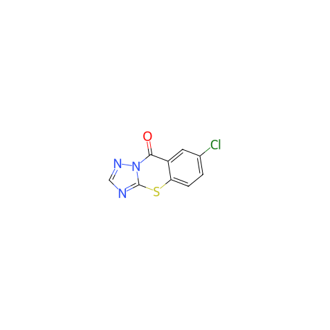 O=c1c2cc(Cl)ccc2sc2ncnn12